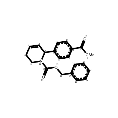 COC(=O)c1ccc(C2C=CCCN2C(=O)OCc2ccccc2)cc1